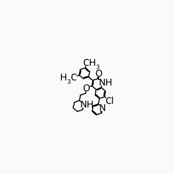 Cc1cc(C)cc(-c2c(OCCC3CCCCN3)c3cc(-c4ccccn4)c(Cl)cc3[nH]c2=O)c1